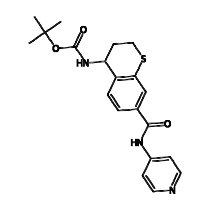 CC(C)(C)OC(=O)NC1CCSc2cc(C(=O)Nc3ccncc3)ccc21